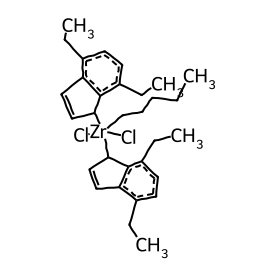 CCCC[CH2][Zr]([Cl])([Cl])([CH]1C=Cc2c(CC)ccc(CC)c21)[CH]1C=Cc2c(CC)ccc(CC)c21